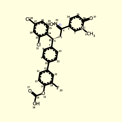 Cn1cc(/C(C[C@H](c2ccc(-c3ccc(OC(=O)O)c(F)c3)cc2)c2ccc(Cl)cc2Cl)=N/O)ccc1=O